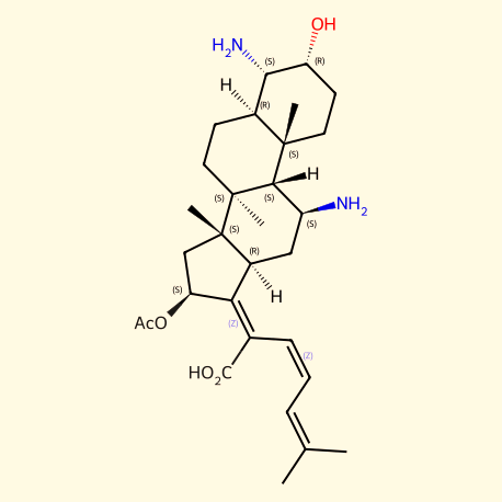 CC(=O)O[C@H]1C[C@@]2(C)[C@@H](C[C@H](N)[C@H]3[C@@]4(C)CC[C@@H](O)[C@@H](N)[C@@H]4CC[C@@]32C)/C1=C(\C=C/C=C(C)C)C(=O)O